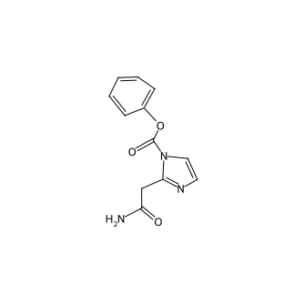 NC(=O)Cc1nccn1C(=O)Oc1ccccc1